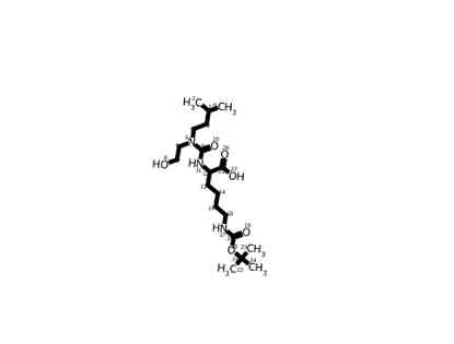 CC(C)CCN(CCO)C(=O)NC(CCCCNC(=O)OC(C)(C)C)C(=O)O